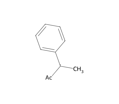 C[C](C(C)=O)c1ccccc1